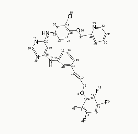 Fc1cc(F)c(F)c(OCC#Cc2cccc(Nc3cc(Nc4ccc(OCc5ccccn5)c(Cl)c4)ncn3)c2)c1F